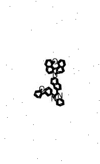 c1ccc2nc(-c3ccc4oc5ccccc5c4c3)c(-c3ccc4cc(-n5c6ccc7cccc8oc9cccc%10ccc5c(c%109)c6c78)ccc4c3)nc2c1